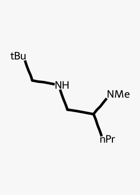 CCCC(CNCC(C)(C)C)NC